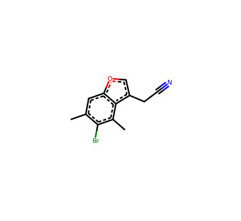 Cc1cc2occ(CC#N)c2c(C)c1Br